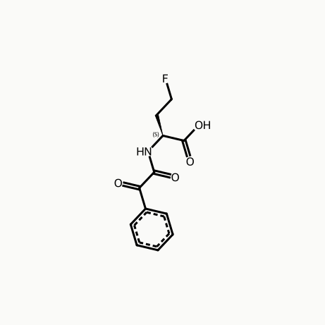 O=C(N[C@@H](CCF)C(=O)O)C(=O)c1ccccc1